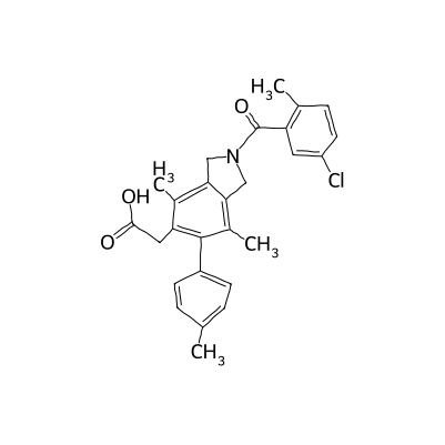 Cc1ccc(-c2c(C)c3c(c(C)c2CC(=O)O)CN(C(=O)c2cc(Cl)ccc2C)C3)cc1